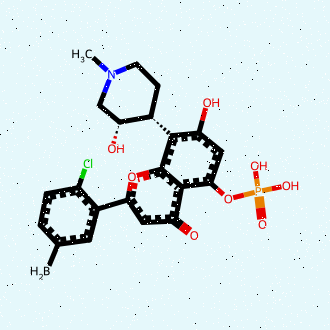 Bc1ccc(Cl)c(-c2cc(=O)c3c(OP(=O)(O)O)cc(O)c([C@H]4CCN(C)C[C@H]4O)c3o2)c1